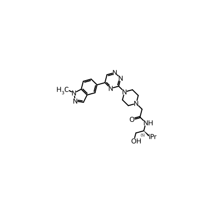 CC(C)[C@@H](CO)NC(=O)CN1CCN(c2nncc(-c3ccc4c(cnn4C)c3)n2)CC1